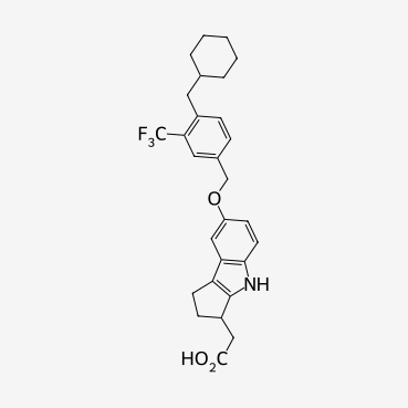 O=C(O)CC1CCc2c1[nH]c1ccc(OCc3ccc(CC4CCCCC4)c(C(F)(F)F)c3)cc21